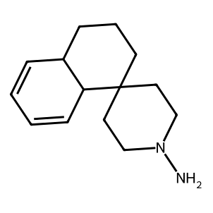 NN1CCC2(CCCC3C=CC=CC32)CC1